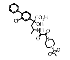 CC(CC(O)(C(=O)O)c1ccc(-c2ccccc2)c(Cl)c1)NC(=O)C(=O)N1CCN(S(C)(=O)=O)CC1